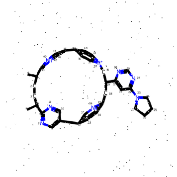 CC1CCC(C)c2ncc(cn2)-c2ccc(nc2)CC(c2cc(N3CCCC3)ncn2)C[n+]2ccc(cc2)-c2cnc1nc2